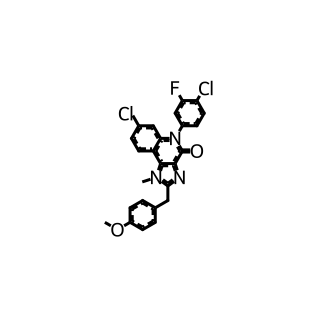 COc1ccc(Cc2nc3c(=O)n(-c4ccc(Cl)c(F)c4)c4cc(Cl)ccc4c3n2C)cc1